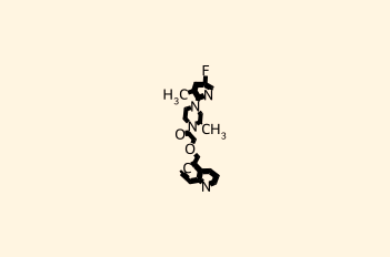 Cc1cc(F)cnc1N1CCN(C(=O)COCc2cccc3ncccc23)[C@@H](C)C1